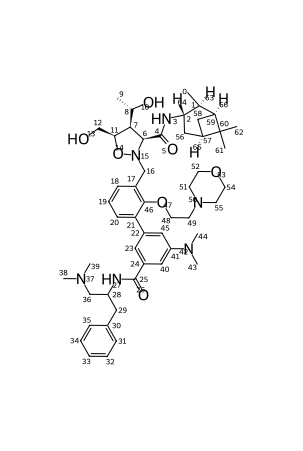 C[C@@H]1[C@@H](NC(=O)[C@@H]2[C@H]([C@H](C)O)[C@H](CO)ON2Cc2cccc(-c3cc(C(=O)NC(Cc4ccccc4)CN(C)C)cc(N(C)C)c3)c2OCCN2CCOCC2)C[C@H]2C[C@@H]1C2(C)C